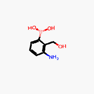 Nc1cccc(B(O)O)c1CO